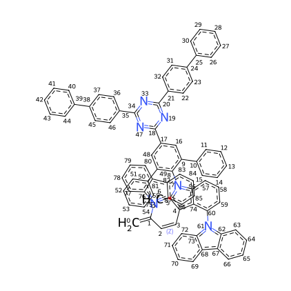 C=C(/C=C\c1c(C)n(-c2c(-c3ccccc3)cc(-c3nc(-c4ccc(-c5ccccc5)cc4)nc(-c4ccc(-c5ccccc5)cc4)n3)cc2-c2ccccc2)c2cccc(-n3c4ccccc4c4ccccc43)c12)n1c2ccccc2c2ccccc21